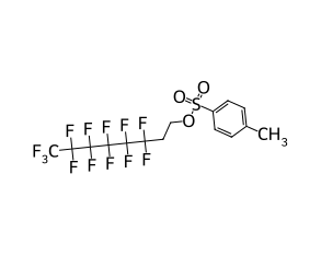 Cc1ccc(S(=O)(=O)OCCC(F)(F)C(F)(F)C(F)(F)C(F)(F)C(F)(F)C(F)(F)F)cc1